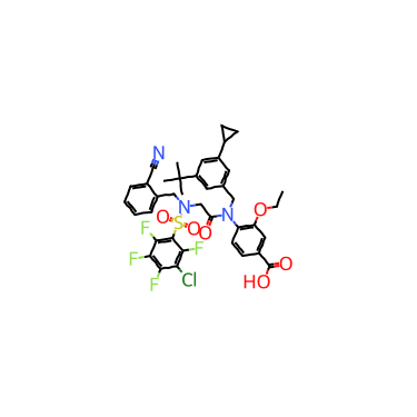 CCOc1cc(C(=O)O)ccc1N(Cc1cc(C2CC2)cc(C(C)(C)C)c1)C(=O)CN(Cc1ccccc1C#N)S(=O)(=O)c1c(F)c(F)c(F)c(Cl)c1F